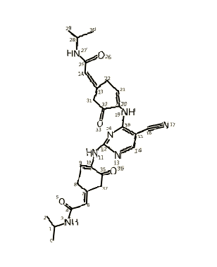 CC(C)NC(=O)C=C1CC=C(Nc2ncc(C#N)c(NC3=CCC(=CC(=O)NC(C)C)CC3=O)n2)C(=O)C1